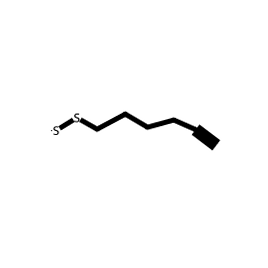 C#CCCCCS[S]